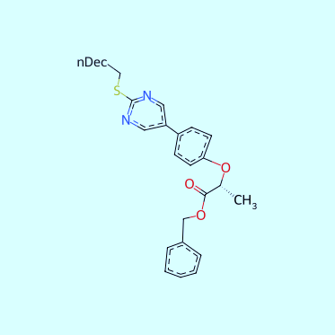 CCCCCCCCCCCSc1ncc(-c2ccc(O[C@H](C)C(=O)OCc3ccccc3)cc2)cn1